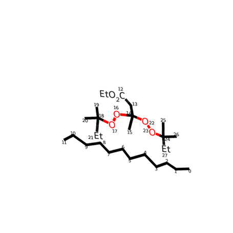 CCCCCCCCCCCC.CCOC(=O)CC(C)(OOC(C)(C)CC)OOC(C)(C)CC